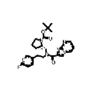 CC(C)(C)OC(=O)N1CCC[C@H]1CN(CCc1ccc(F)cc1)C(=O)c1cn2cccnc2n1